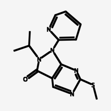 CSc1ncc2c(=O)n(C(C)C)n(-c3ccccn3)c2n1